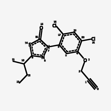 C#CCOc1cc(-n2nc(C(C)CC)sc2=O)c(Cl)cc1Cl